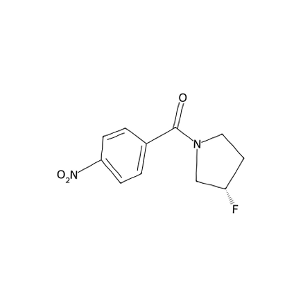 O=C(c1ccc([N+](=O)[O-])cc1)N1CC[C@H](F)C1